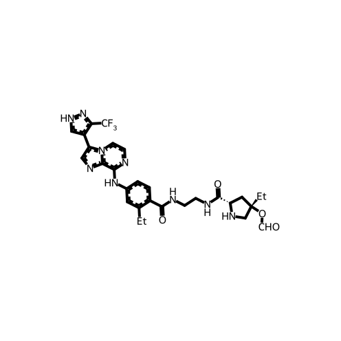 CCc1cc(Nc2nccn3c(-c4c[nH]nc4C(F)(F)F)cnc23)ccc1C(=O)NCCNC(=O)[C@@H]1C[C@](CC)(OC=O)CN1